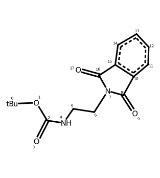 CC(C)(C)OC(=O)NCCN1C(=O)c2ccccc2C1=O